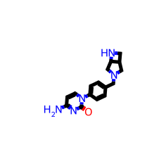 Nc1ccn(-c2ccc(CN3CC4CNC4C3)cc2)c(=O)n1